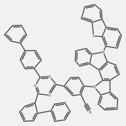 N#Cc1cc(-c2nc(-c3ccc(-c4ccccc4)cc3)nc(-c3ccccc3-c3ccccc3)n2)ccc1-n1c2ccccc2c2ccc3c(c4ccccc4n3-c3cccc4c3sc3ccccc34)c21